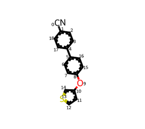 N#Cc1ccc(-c2ccc(Oc3ccsc3)cc2)cc1